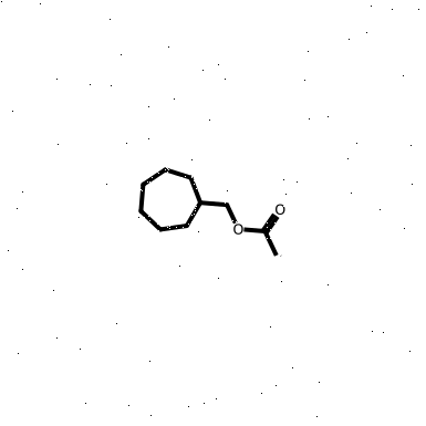 [CH2]C(=O)OCC1CCCCCC1